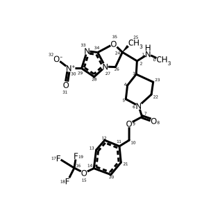 CNC(C1CCN(C(=O)OCc2ccc(OC(F)(F)F)cc2)CC1)[C@]1(C)Cn2cc([N+](=O)[O-])nc2O1